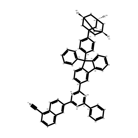 N#Cc1cccc2cc(-c3nc(-c4ccccc4)nc(-c4ccc5c(c4)-c4ccccc4C5(c4ccccc4)c4ccc(C56C[C@H]7C[C@@H](C5)C[C@@H](C6)C7)cc4)n3)ccc12